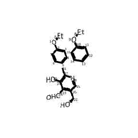 CCOc1ccccc1.CCOc1ccccc1.Cc1ncc(CO)c(C=O)c1O